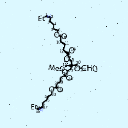 CC/C=C\CCCCOC(=O)CCCC(=O)OCC(COC)(COC=O)COC(=O)CCCC(=O)OCCCC/C=C\CC